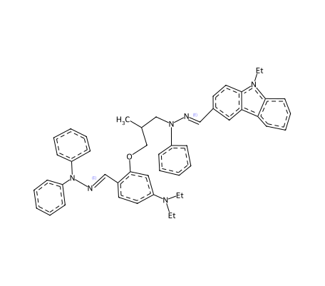 CCN(CC)c1ccc(/C=N/N(c2ccccc2)c2ccccc2)c(OCC(C)CN(/N=C/c2ccc3c(c2)c2ccccc2n3CC)c2ccccc2)c1